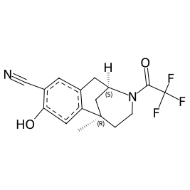 C[C@]12CCN(C(=O)C(F)(F)F)[C@H](Cc3cc(C#N)c(O)cc31)C2